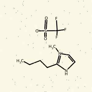 CCCCc1[nH]cc[n+]1C.O=S(=O)([O-])C(F)(F)F